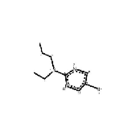 CCCN(CC)c1ncc(Br)cn1